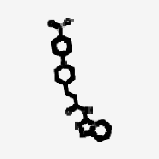 O=C(CCC1CCN(c2ccc([N+](=O)[O-])cc2)CC1)Nc1nnc2ccccn12